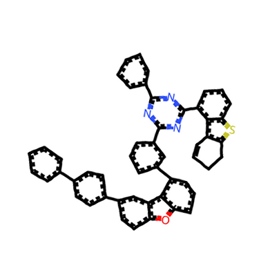 C1=Cc2c(sc3cccc(-c4nc(-c5ccccc5)nc(-c5cccc(-c6cccc7oc8ccc(-c9ccc(-c%10ccccc%10)cc9)cc8c67)c5)n4)c23)CC1